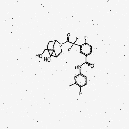 Cc1cc(NC(=O)c2ccc(F)c(C(F)(F)C(=O)N3CC4CCCC3CC4(O)CO)c2)ccc1F